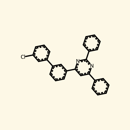 Clc1cccc(-c2cccc(-c3cc(-c4ccccc4)nc(-c4ccccc4)n3)c2)c1